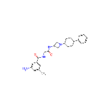 Nc1cc(C(=O)NCC(=O)NC2CN(C3CCC(c4ccccc4)CC3)C2)cc(C(F)(F)F)c1